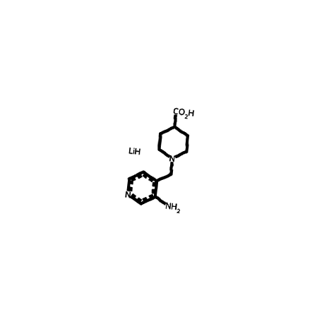 Nc1cnccc1CN1CCC(C(=O)O)CC1.[LiH]